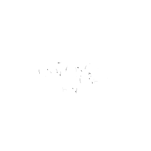 NCC(=O)N[C@@H](C(=O)NCc1ccc(N)nc1)C(C1CCCCC1)C1CCCCC1